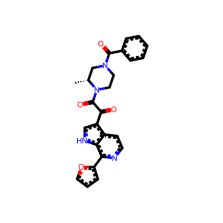 C[C@@H]1CN(C(=O)c2ccccc2)CCN1C(=O)C(=O)c1c[nH]c2c(-c3ccco3)nccc12